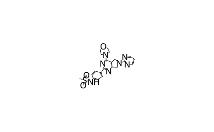 CS(=O)(=O)Nc1ccc(-c2nc3c(c(N4CCOCC4)n2)CN(c2ncccn2)C3)cc1